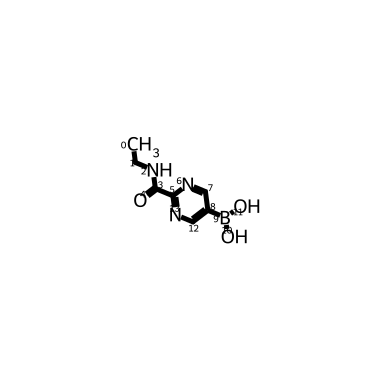 CCNC(=O)c1ncc(B(O)O)cn1